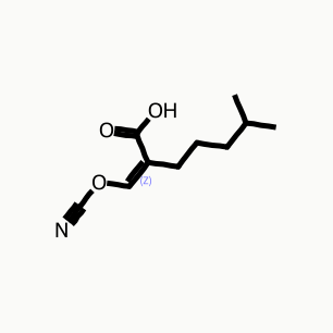 CC(C)CCC/C(=C/OC#N)C(=O)O